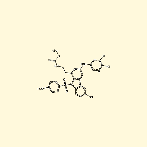 Cc1ccc(S(=O)(=O)n2c3ccc(Cl)cc3c3cc(Nc4cnc(Cl)c(Cl)c4)cc(CCNC(=O)OC(C)(C)C)c32)cc1